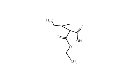 CCOC(=O)C1(C(=O)O)CC1CC